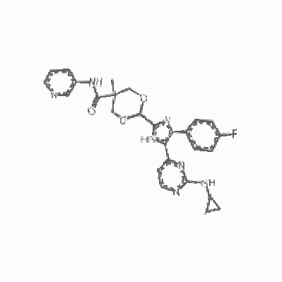 CC1(C(=O)Nc2cccnc2)COC(c2nc(-c3ccc(F)cc3)c(-c3ccnc(NC4CC4)n3)[nH]2)OC1